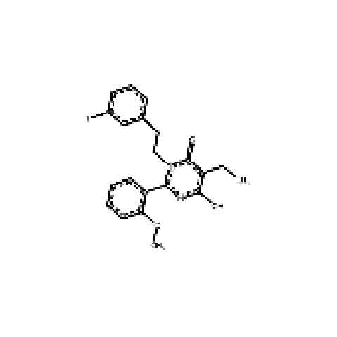 CCc1c(O)nc(-c2ccccc2OC)n(CCc2cccc(F)c2)c1=O